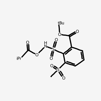 CC(C)C(=O)ONS(=O)(=O)c1c(C(=O)OC(C)(C)C)cccc1S(C)(=O)=O